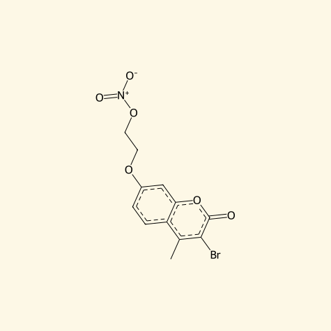 Cc1c(Br)c(=O)oc2cc(OCCO[N+](=O)[O-])ccc12